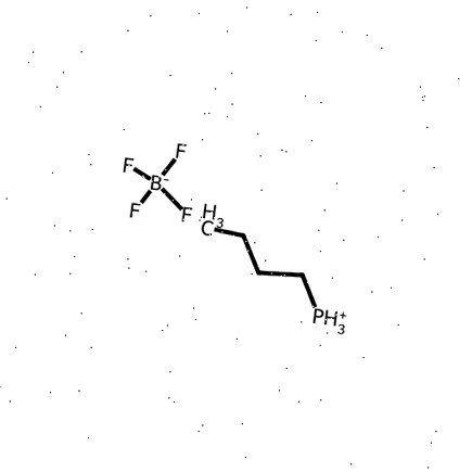 CCCC[PH3+].F[B-](F)(F)F